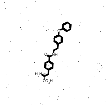 N[C@@H](Cc1ccc(C(=O)NCCc2ccc(Oc3ccccc3)cc2)cc1)C(=O)O